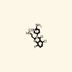 Nc1ccc(-n2c(CCNC(=O)O)nc3c(F)ccc(Cl)c3c2=O)cn1